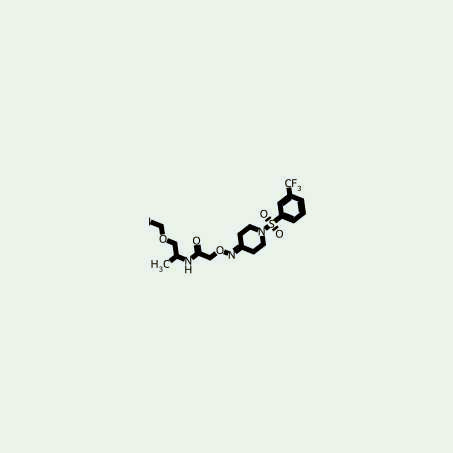 CC(COCI)NC(=O)CON=C1CCN(S(=O)(=O)c2cccc(C(F)(F)F)c2)CC1